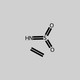 C=C.N=S(=O)=O